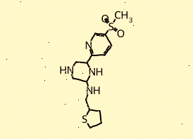 CS(=O)(=O)c1ccc(C2CNCC(NCC3CCCS3)N2)nc1